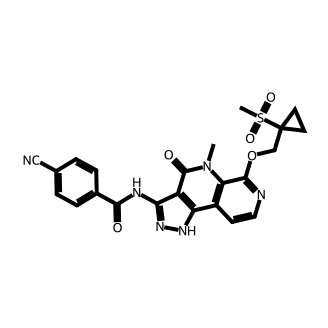 Cn1c(=O)c2c(NC(=O)c3ccc(C#N)cc3)n[nH]c2c2ccnc(OCC3(S(C)(=O)=O)CC3)c21